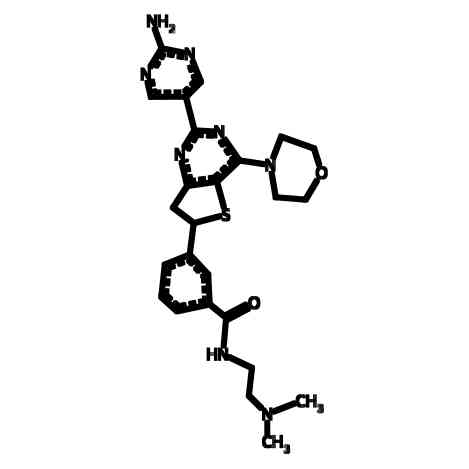 CN(C)CCNC(=O)c1cccc(C2Cc3nc(-c4cnc(N)nc4)nc(N4CCOCC4)c3S2)c1